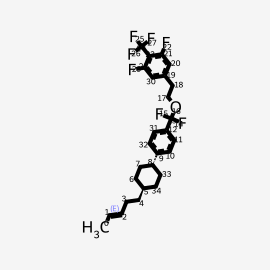 C/C=C/CC[C@H]1CC[C@H](c2ccc(C(F)(F)OCCc3cc(F)c(C(F)(F)F)c(F)c3)cc2)CC1